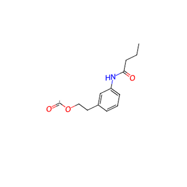 CCCC(=O)Nc1cccc(CCO[C]=O)c1